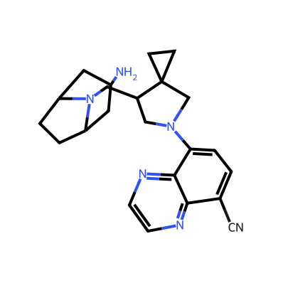 N#Cc1ccc(N2CC(CN3C4CCC3CC(N)C4)C3(CC3)C2)c2nccnc12